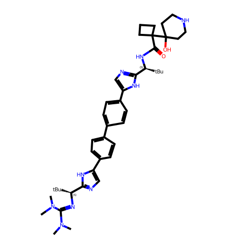 CN(C)C(=N[C@H](c1ncc(-c2ccc(-c3ccc(-c4cnc([C@@H](NC(=O)C5(C6(O)CCNCC6)CCC5)C(C)(C)C)[nH]4)cc3)cc2)[nH]1)C(C)(C)C)N(C)C